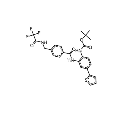 CC(C)(C)OC(=O)Nc1ccc(-c2cccs2)cc1NC(=O)c1ccc(CNC(=O)C(F)(F)F)cc1